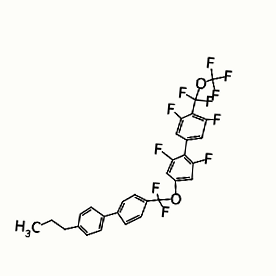 CCCc1ccc(-c2ccc(C(F)(F)Oc3cc(F)c(-c4cc(F)c(C(F)(F)OC(F)(F)F)c(F)c4)c(F)c3)cc2)cc1